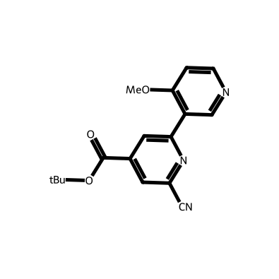 COc1ccncc1-c1cc(C(=O)OC(C)(C)C)cc(C#N)n1